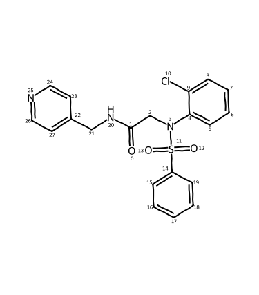 O=C(CN(c1ccccc1Cl)S(=O)(=O)c1ccccc1)NCc1ccncc1